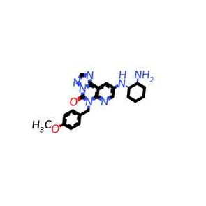 COc1ccc(Cn2c(=O)n3ncnc3c3cc(N[C@H]4CCCC[C@@H]4N)cnc32)cc1